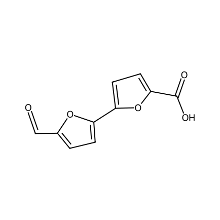 O=Cc1ccc(-c2ccc(C(=O)O)o2)o1